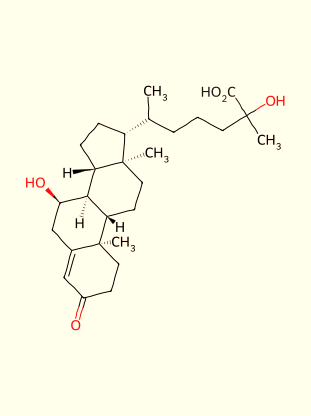 CC(CCCC(C)(O)C(=O)O)[C@H]1CC[C@H]2[C@@H]3[C@H](O)CC4=CC(=O)CC[C@]4(C)[C@H]3CC[C@]12C